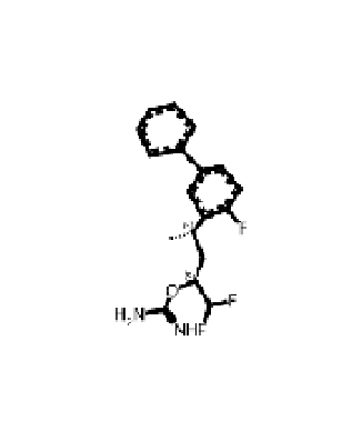 C[C@@H](C[C@H](OC(=N)N)C(F)F)c1cc(-c2ccccc2)ccc1F